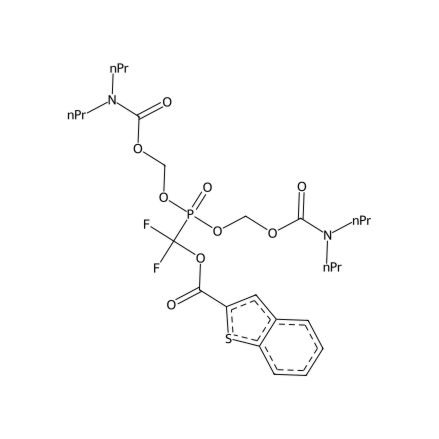 CCCN(CCC)C(=O)OCOP(=O)(OCOC(=O)N(CCC)CCC)C(F)(F)OC(=O)c1cc2ccccc2s1